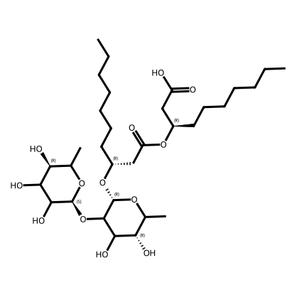 CCCCCCC[C@H](CC(=O)O)OC(=O)C[C@@H](CCCCCCC)O[C@@H]1OC(C)[C@H](O)C(O)C1O[C@@H]1OC(C)[C@H](O)C(O)C1O